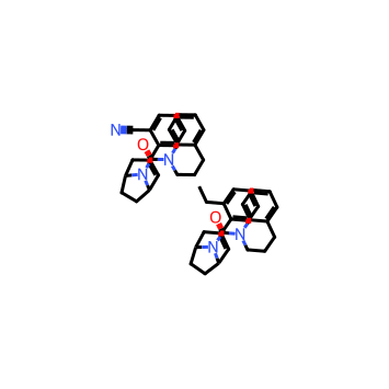 CCc1ccccc1C1=CC2CCC(C1)N2C(=O)N1CCCc2ccccc21.N#Cc1ccccc1C1=CC2CCC(C1)N2C(=O)N1CCCc2ccccc21